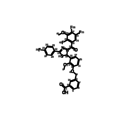 COc1c(OCc2cccc(C(=O)O)c2)cccc1C1SC(c2ccc(F)cc2)=NN1C(=O)c1cc(F)c(F)c(OC)c1F